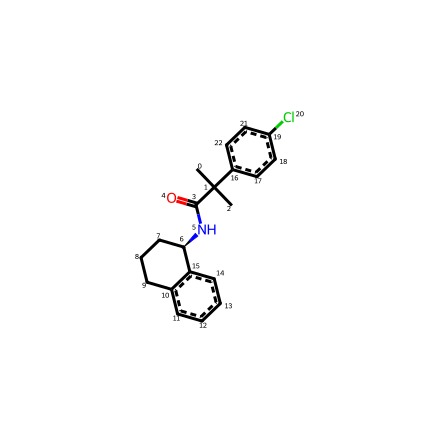 CC(C)(C(=O)N[C@@H]1CCCc2ccccc21)c1ccc(Cl)cc1